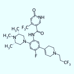 C[C@@H]1CN(c2cc(F)c(C3=CCN(CCC(F)(F)F)CC3)cc2NC(=O)c2c[nH]c(=O)cc2C(F)(F)F)C[C@H](C)N1C